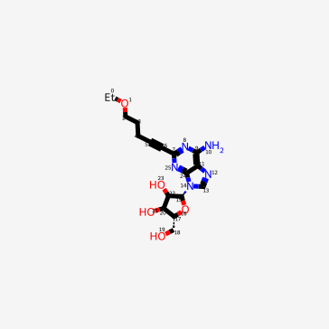 CCOCCCC#Cc1nc(N)c2ncn([C@@H]3O[C@H](CO)C(O)C3O)c2n1